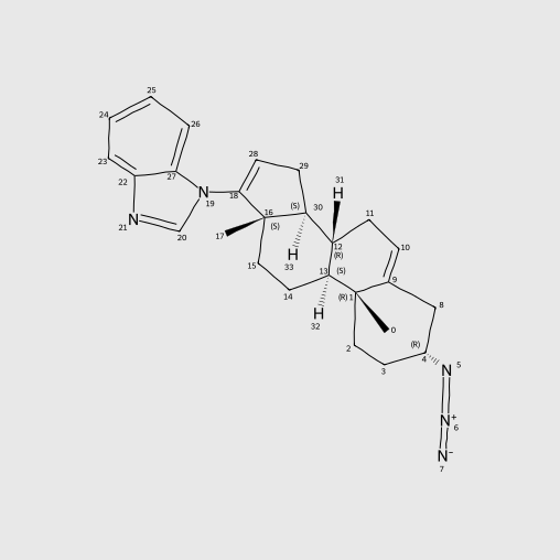 C[C@]12CC[C@@H](N=[N+]=[N-])CC1=CC[C@@H]1[C@@H]2CC[C@]2(C)C(n3cnc4ccccc43)=CC[C@@H]12